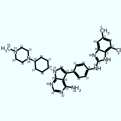 Cc1cc(Cl)c2[nH]c(Nc3ccc(-c4cn([C@H]5CC[C@H](N6CCN(C)CC6)CC5)c5ncnc(N)c45)cc3)nc2c1